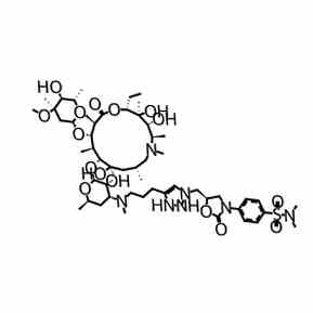 CC[C@H]1OC(=O)[C@H](C)[C@@H](O[C@H]2C[C@@](C)(OC)[C@@H](O)[C@H](C)O2)[C@H](C)[C@@H](O[C@@H]2O[C@H](C)C[C@H](N(C)CCCC3=CN(C[C@H]4CN(c5ccc(S(=O)(=O)N(C)C)cc5)C(=O)O4)NN3)[C@H]2O)[C@](C)(O)C[C@@H](C)CN(C)[C@H](C)[C@@H](O)[C@]1(C)O